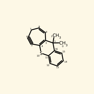 CC1(C)C2=C(C#CCC=C2)Sc2ccccc21